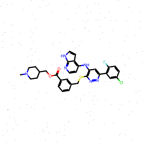 CN1CCC(COC(=O)c2cccc(CSc3nnc(-c4cc(Cl)ccc4F)cc3Nc3ccnc4[nH]ccc34)c2)CC1